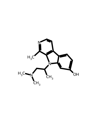 Cc1nccc2c3ccc(O)cc3n(C(C)CN(C)C)c12